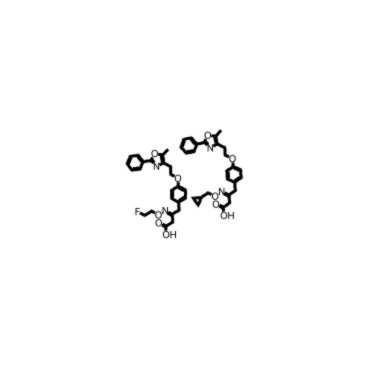 Cc1oc(-c2ccccc2)nc1CCOc1ccc(CC(CC(=O)O)=NOCC2CC2)cc1.Cc1oc(-c2ccccc2)nc1CCOc1ccc(CC(CC(=O)O)=NOCCF)cc1